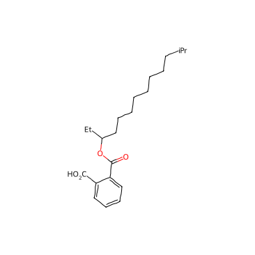 CCC(CCCCCCCCC(C)C)OC(=O)c1ccccc1C(=O)O